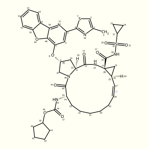 Cc1csc(-c2cc(O[C@@H]3C[C@H]4C(=O)N[C@]5(C(=O)NS(=O)(=O)C6CC6)C[C@H]5/C=C\CCCCC[C@H](NC(=O)OC5CCCC5)C(=O)N4C3)c3oc4ccccc4c3n2)n1